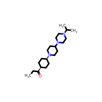 CCC(=O)[C@H]1CC[C@@H](N2CCC(N3CCN(C(C)C)CC3)CC2)CC1